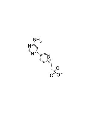 COS(=O)(=O)CC[n+]1ccc(-c2cc(N)ncn2)cn1